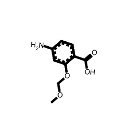 COCOc1cc(N)ccc1C(=O)O